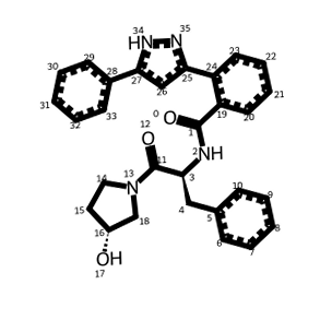 O=C(N[C@@H](Cc1ccccc1)C(=O)N1CC[C@@H](O)C1)c1ccccc1-c1cc(-c2ccccc2)[nH]n1